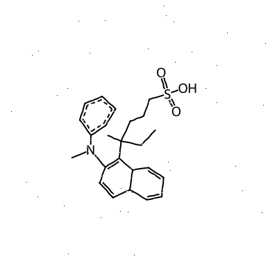 CCC(C)(CCCS(=O)(=O)O)C1=C(N(C)c2ccccc2)C=CC2C=CC=CC12